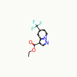 CCOC(=O)c1cnn2ccc(C(F)(F)F)cc12